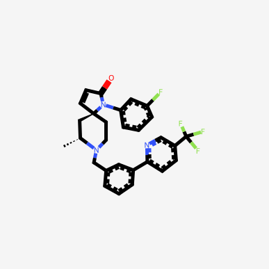 C[C@@H]1C[C@]2(C=CC(=O)N2c2cccc(F)c2)CCN1Cc1cccc(-c2ccc(C(F)(F)F)cn2)c1